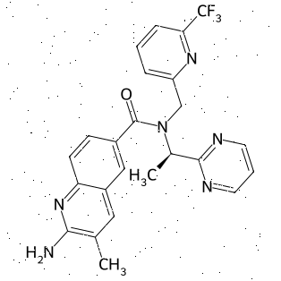 Cc1cc2cc(C(=O)N(Cc3cccc(C(F)(F)F)n3)[C@H](C)c3ncccn3)ccc2nc1N